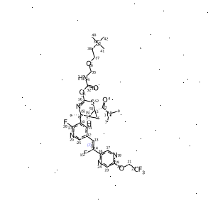 CN(C)C(=O)[C@]12C[C@H]1[C@@](C)(c1cc(/C=C(\F)c3cnc(OCC(F)(F)F)cn3)cnc1F)N=C(OC(=O)NCOCC[Si](C)(C)C)S2